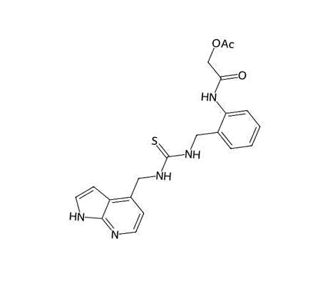 CC(=O)OCC(=O)Nc1ccccc1CNC(=S)NCc1ccnc2[nH]ccc12